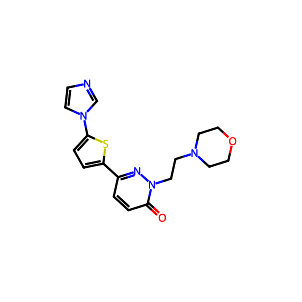 O=c1ccc(-c2ccc(-n3ccnc3)s2)nn1CCN1CCOCC1